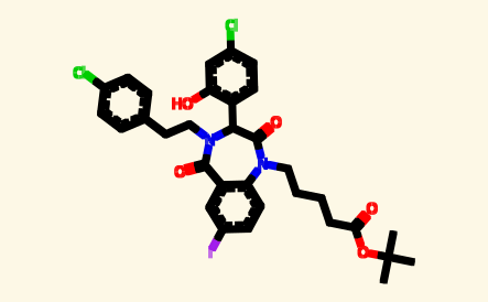 CC(C)(C)OC(=O)CCCCN1C(=O)C(c2ccc(Cl)cc2O)N(CCc2ccc(Cl)cc2)C(=O)c2cc(I)ccc21